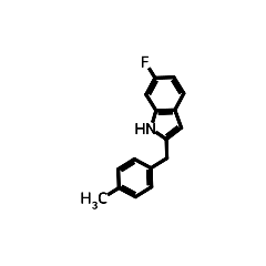 Cc1ccc(Cc2cc3ccc(F)cc3[nH]2)cc1